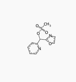 CS(=O)(=O)OC(c1ccccn1)c1ncco1